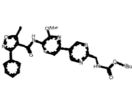 COc1nc(-c2cnc(CNC(=O)OC(C)(C)C)nc2)cnc1NC(=O)c1c(-c2ccccc2)noc1C